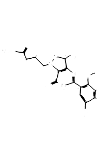 CCCOc1ccc(C(C)=O)cc1-c1nc2c(c(=O)[nH]1)N(CCCC(=O)OC)NC2CC